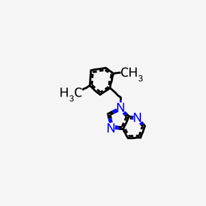 Cc1ccc(C)c(Cn2cnc3cccnc32)c1